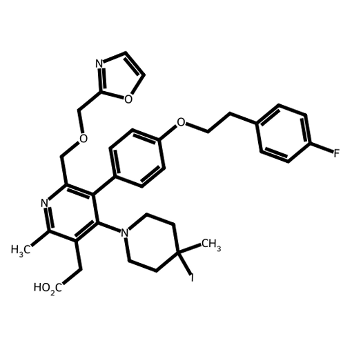 Cc1nc(COCc2ncco2)c(-c2ccc(OCCc3ccc(F)cc3)cc2)c(N2CCC(C)(I)CC2)c1CC(=O)O